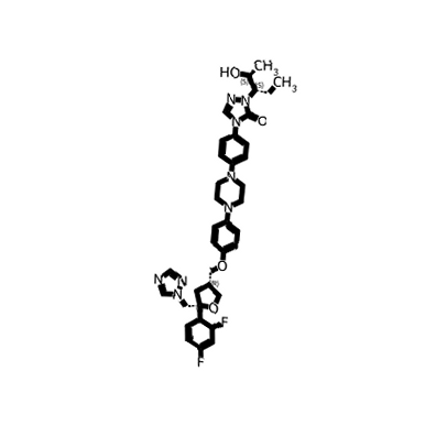 CC[C@@H]([C@H](C)O)n1ncn(-c2ccc(N3CCN(c4ccc(OC[C@@H]5CO[C@@](Cn6cncn6)(C6C=CC(F)=CC6F)C5)cc4)CC3)cc2)c1=O